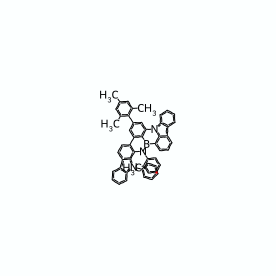 Cc1cc(C)c(-c2cc3c4c(c2)-n2c5ccccc5c5cccc(c52)B4N(c2ccccc2C)c2c-3ccc3c4ccccc4n(-c4ccccc4)c23)c(C)c1